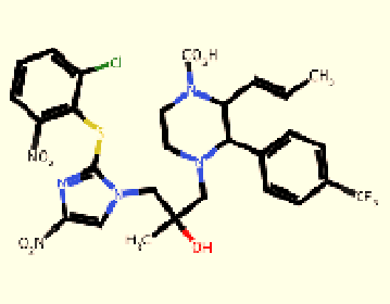 CC=CC1C(c2ccc(C(F)(F)F)cc2)N(CC(C)(O)Cn2cc([N+](=O)[O-])nc2Sc2c(Cl)cccc2[N+](=O)[O-])CCN1C(=O)O